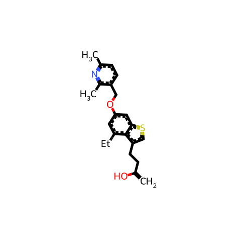 C=C(O)CCc1csc2cc(OCc3ccc(C)nc3C)cc(CC)c12